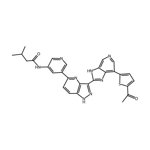 CC(=O)c1ccc(-c2cncc3[nH]c(-c4n[nH]c5ccc(-c6cncc(NC(=O)CC(C)C)c6)nc45)nc23)s1